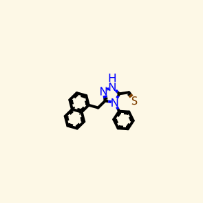 S=CC1NN=C(Cc2cccc3ccccc23)N1c1ccccc1